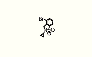 O=S1(=O)c2cccc(Br)c2CN1C1CC1